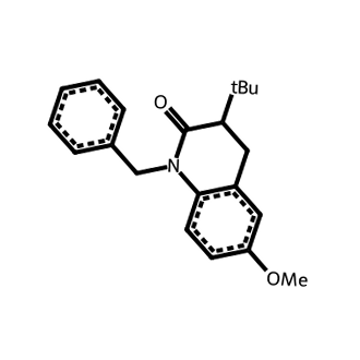 COc1ccc2c(c1)CC(C(C)(C)C)C(=O)N2Cc1ccccc1